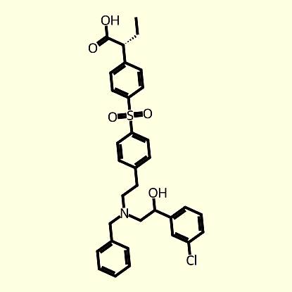 CC[C@@H](C(=O)O)c1ccc(S(=O)(=O)c2ccc(CCN(Cc3ccccc3)CC(O)c3cccc(Cl)c3)cc2)cc1